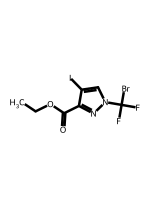 CCOC(=O)c1nn(C(F)(F)Br)cc1I